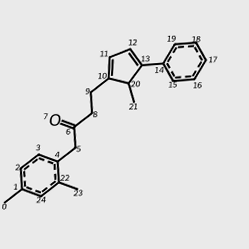 Cc1ccc(CC(=O)CCC2=CC=C(c3ccccc3)C2C)c(C)c1